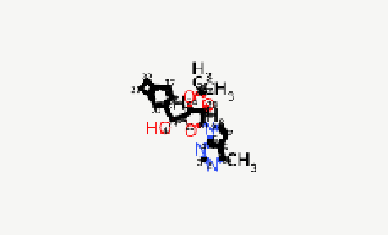 Cc1ncnc2c1ccn2C1O[C@H]([C@H](O)c2ccc3c(c2)CC3)[C@H]2OC(C)(C)O[C@@H]12